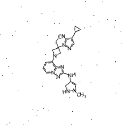 CN1C=C(Nc2nc3c(N4CC(CC#N)(n5cc(C6CC6)cn5)C4)cccn3n2)CN1